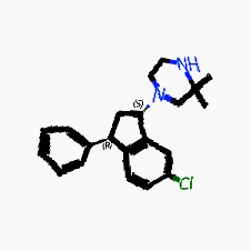 CC1(C)CN([C@H]2C[C@H](c3ccccc3)c3ccc(Cl)cc32)CCN1